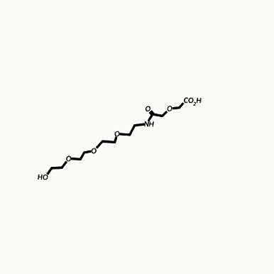 O=C(O)COCC(=O)NCCOCCOCCOCCO